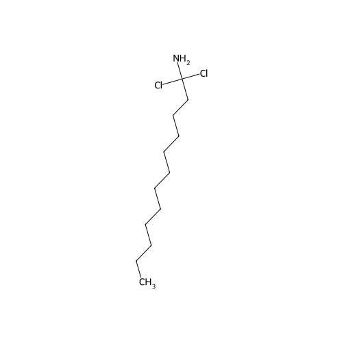 CCCCCCCCCCCC(N)(Cl)Cl